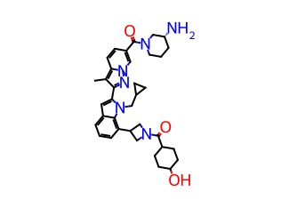 Cc1c(-c2cc3cccc(C4CN(C(=O)C5CCC(O)CC5)C4)c3n2CC2CC2)nn2cc(C(=O)N3CCC[C@@H](N)C3)ccc12